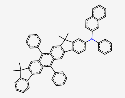 CC1(C)c2ccccc2-c2cc3c(-c4ccccc4)c4cc5c(cc4c(-c4ccccc4)c3cc21)C(C)(C)c1cc(N(c2ccccc2)c2ccc3ccccc3c2)ccc1-5